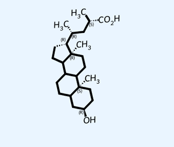 C[C@H](C[C@H](C)C(=O)O)[C@H]1CCC2C3CCC4C[C@H](O)CC[C@]4(C)C3CC[C@@]21C